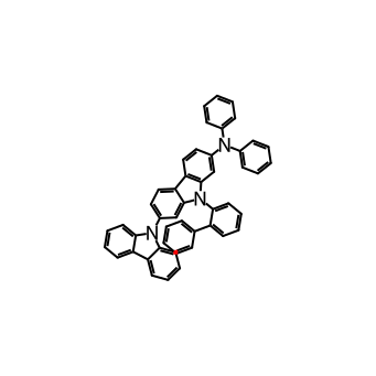 c1ccc(-c2ccccc2-n2c3cc(N(c4ccccc4)c4ccccc4)ccc3c3ccc(-n4c5ccccc5c5ccccc54)cc32)cc1